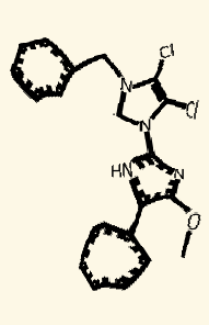 COc1nc(N2[CH]N(Cc3ccccc3)C(Cl)=C2Cl)[nH]c1-c1ccccc1